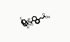 O=C(O)CCc1cccc2c1CCCC2C(=O)N[C@H]1[C@@H]2CC3C[C@H]1C[C@](F)(C3)C2